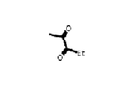 [CH2]CC(=O)C(C)=O